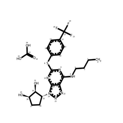 CCCCNc1nc(Sc2ccc(C(F)(F)F)cc2)nc2c1nnn2[C@@H]1CC[C@@H](O)[C@H]1O.O=C(O)O